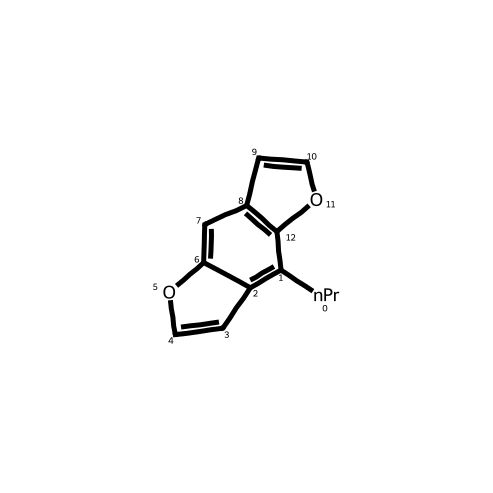 CCCc1c2ccoc2cc2ccoc12